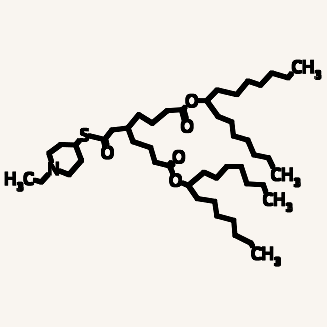 CCCCCCCC(CCCCCCC)OC(=O)CCCC(CCCC(=O)OC(CCCCCCC)CCCCCCC)CC(=O)SC1CCN(CC)CC1